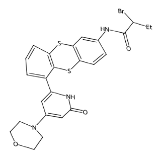 CCC(Br)C(=O)Nc1ccc2c(c1)Sc1cccc(-c3cc(N4CCOCC4)cc(=O)[nH]3)c1S2